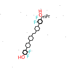 CCCC(O)c1ccc(C2CCC(CCC3CCC(C4CCC(c5ccc(O)c(F)c5F)CC4)CC3)CC2)c(F)c1F